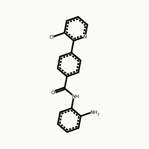 Nc1ccccc1NC(=O)c1ccc(-c2ncccc2Cl)cc1